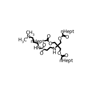 CCCCCCCC(=O)OCC(COC(=O)CCCCCCC)(COC(=O)CCCCCCC)NCCS(=O)(=O)NCCCN(C)C